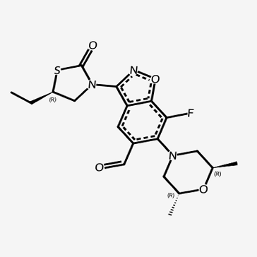 CC[C@@H]1CN(c2noc3c(F)c(N4C[C@@H](C)O[C@H](C)C4)c(C=O)cc23)C(=O)S1